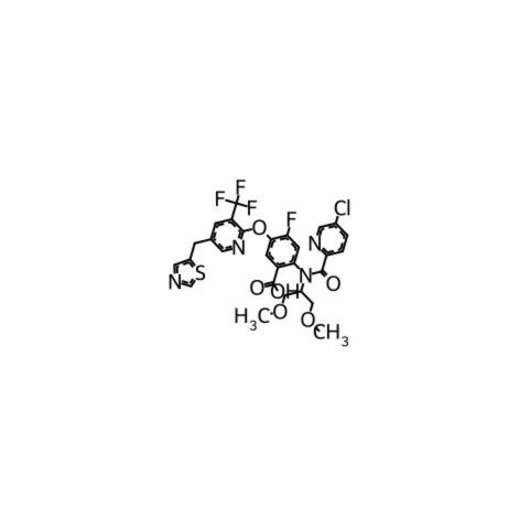 COCC(COC)N(C(=O)c1ccc(Cl)cn1)c1cc(F)c(Oc2ncc(Cc3cncs3)cc2C(F)(F)F)cc1C(=O)O